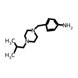 C[C](C)CN1CCN(Cc2ccc(N)cc2)CC1